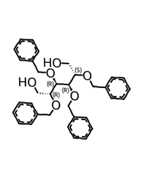 OC[C@H](OCc1ccccc1)[C@@H](OCc1ccccc1)[C@H](OCc1ccccc1)[C@@H](CO)OCc1ccccc1